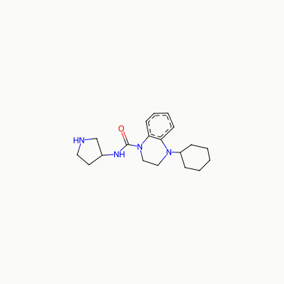 O=C(NC1CCNC1)N1CCN(C2CCCCC2)c2ccccc21